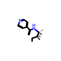 C=C(N[C@H](C)[C@@H](C)CC)c1ccncc1